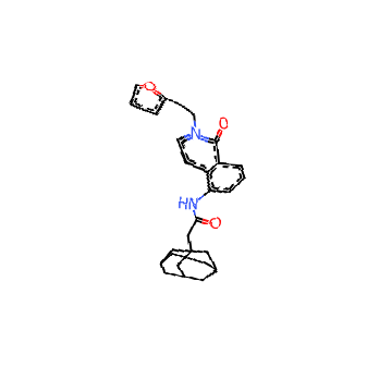 O=C(CC12CC3CC(CC(C3)C1)C2)Nc1cccc2c(=O)n(Cc3ccco3)ccc12